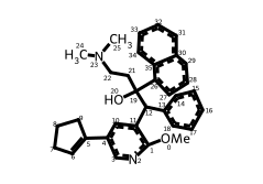 COc1ncc(C2=CCCC2)cc1[C](c1ccccc1)C(O)(CCN(C)C)c1cccc2ccccc12